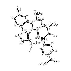 CCCC[C@@H](C(=O)Nc1ccc(C(=O)NC)nc1)n1cc(OC)c(-c2cc(Cl)ccc2-n2cc(C(F)F)nn2)cc1=O